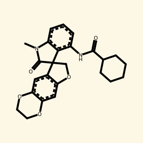 CN1C(=O)C2(COc3cc4c(cc32)OCCO4)c2c(NC(=O)C3CCCCC3)cccc21